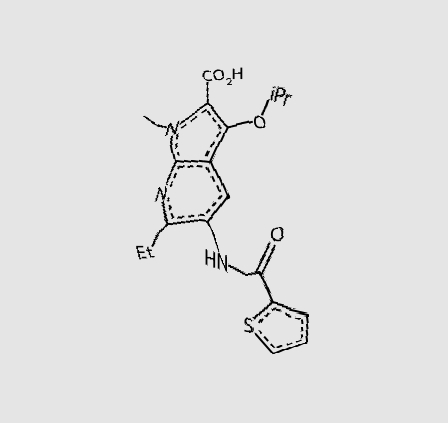 CCc1nc2c(cc1NC(=O)c1cccs1)c(OC(C)C)c(C(=O)O)n2C